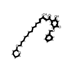 CC(C=CCCCCCCCCCCOC1CCCCO1)=CC(=O)c1cc(OCc2ccccc2)c(Cl)cc1O